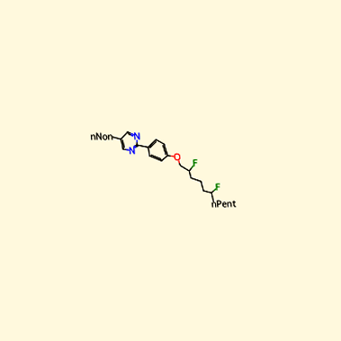 CCCCCCCCCc1cnc(-c2ccc(OCC(F)CCCC(F)CCCCC)cc2)nc1